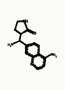 Nc1ccnc2cc(C(N)C3CCNC3=O)ccc12